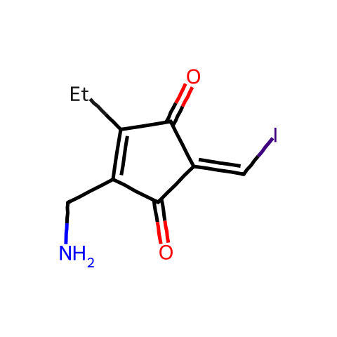 CCC1=C(CN)C(=O)/C(=C/I)C1=O